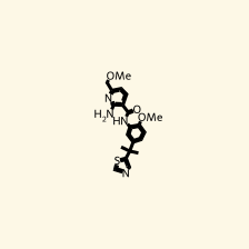 COCc1ccc(C(=O)Nc2cc(C(C)(C)c3cncs3)ccc2OC)c(N)n1